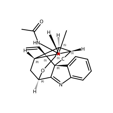 C=C[C@]12[C@@H]3C[C@H]4OC[C@@H]3[C@H](C[C@]13C4=Nc1ccccc13)N(C)[C@@H]2NC(C)=O